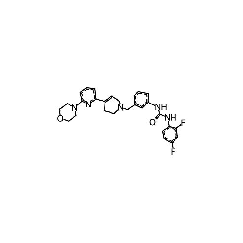 O=C(Nc1cccc(CN2CC=C(c3cccc(N4CCOCC4)n3)CC2)c1)Nc1ccc(F)cc1F